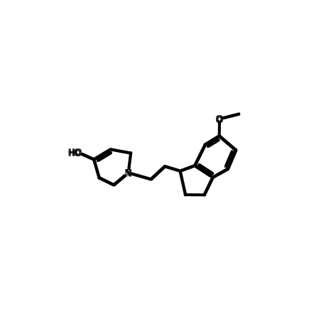 COc1ccc2c(c1)C(CCN1CC=C(O)CC1)CC2